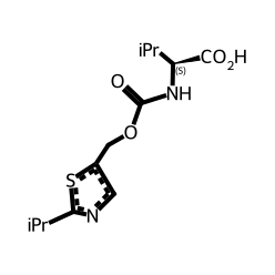 CC(C)c1ncc(COC(=O)N[C@H](C(=O)O)C(C)C)s1